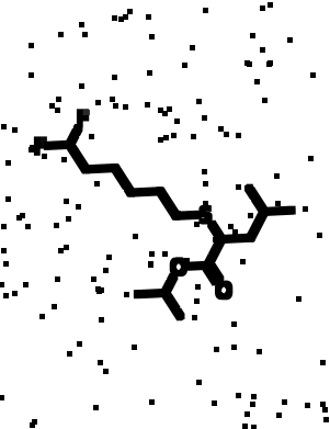 CC(C)CC(SCCCCCC(F)F)C(=O)OC(C)C